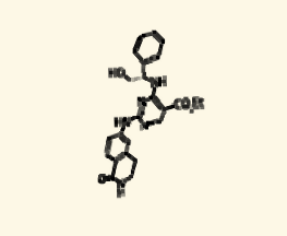 CCOC(=O)c1cnc(Nc2ccc3c(c2)CCNC3=O)nc1N[C@H](CO)c1ccccc1